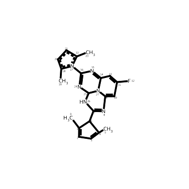 CC1=CC=C(C)C1C1=NC2=CC(F)=CC3=NC(n4c(C)ccc4C)=NC(N1)N23